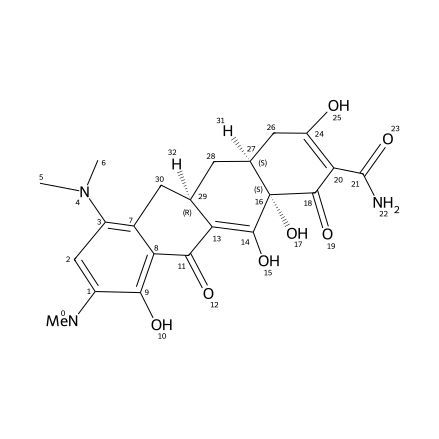 CNc1cc(N(C)C)c2c(c1O)C(=O)C1=C(O)[C@]3(O)C(=O)C(C(N)=O)=C(O)C[C@@H]3C[C@@H]1C2